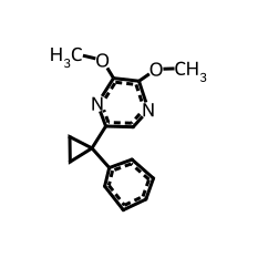 COc1ncc(C2(c3ccccc3)CC2)nc1OC